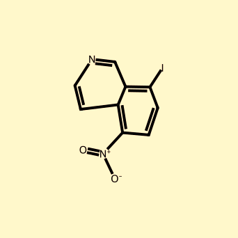 O=[N+]([O-])c1ccc(I)c2cnccc12